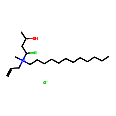 C=CC[N+](C)(CCCCCCCCCCCC)C(Cl)CC(C)O.[Cl-]